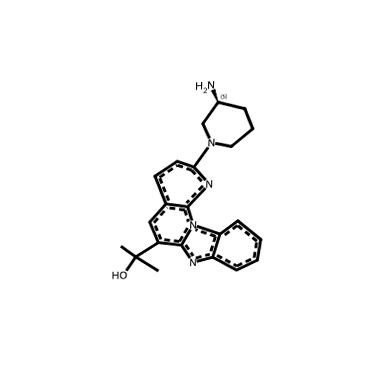 CC(C)(O)c1cc2ccc(N3CCC[C@H](N)C3)nc2n2c1nc1ccccc12